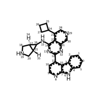 c1ccc2c(c1)[nH]c1nccc(-c3nc(NC4[C@@H]5CNC[C@@H]45)c4c(C5CCC5)cncc4n3)c12